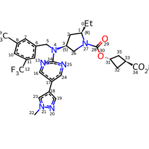 CC[C@@H]1C[C@H](N(Cc2cc(C(F)(F)F)cc(C(F)(F)F)c2)c2ncc(-c3cnn(C)c3)cn2)CN1C(=O)O[C@H]1C[C@H](C(=O)O)C1